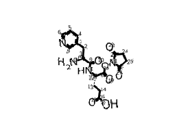 N[C@@H](Cc1cccnc1)C(=O)N[C@@H](CCC(=O)O)C(=O)ON1C(=O)CCC1=O